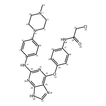 CN1CCN(c2ccc(Nc3nc(Oc4ccc(NC(=O)CCl)cc4)c4nc[nH]c4n3)cc2)CC1